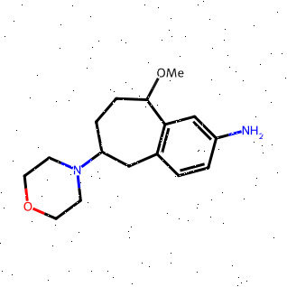 COC1CCC(N2CCOCC2)Cc2ccc(N)cc21